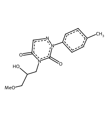 COCC(O)Cn1c(=O)cnn(-c2c[c]c(C)cc2)c1=O